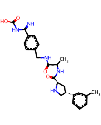 Cc1cccc([C@@H]2CN[C@@H](C(=O)NC(C)C(=O)NCc3ccc(C(=N)NC(=O)O)cc3)C2)c1